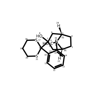 O=C(O)N1[C@@H]2CC[C@H]1CC(O)(C1(c3ccccc3F)SCCCS1)C2